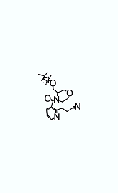 CC(C)(C)[Si](C)(C)OCC1COCCN1C(=O)c1cccnc1CCC#N